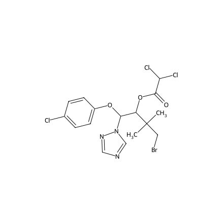 CC(C)(CBr)C(OC(=O)C(Cl)Cl)C(Oc1ccc(Cl)cc1)n1cncn1